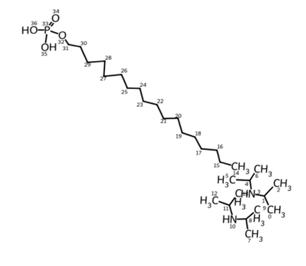 CC(C)NC(C)C.CC(C)NC(C)C.CCCCCCCCCCCCCCCCCCOP(=O)(O)O